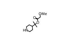 COCC(=O)OC(C)(C)C1CCNCC1